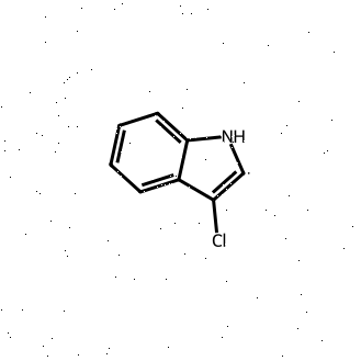 Clc1[c][nH]c2ccccc12